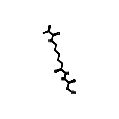 C=C(C)C(=O)NCCCCCC(=O)NNC(=O)OC(C)(C)C